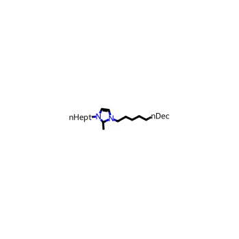 CCCCCCCCCCCCCCCN1C=CN(CCCCCCC)C1C